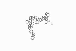 CCOC(=O)c1cn(Cc2ccc(Oc3ccccc3)cc2)nc1OCc1ccc(OCc2nc(-c3ccco3)oc2C)c(OC)c1